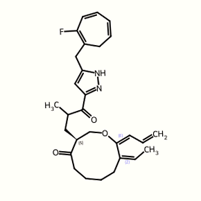 C=C/C=C1/OC[C@H](CC(C)C(=O)c2cc(CC3=C(F)C=CC=CC3)[nH]n2)C(=O)CCCC/C1=C/C